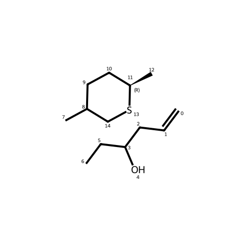 C=CCC(O)CC.CC1CC[C@@H](C)SC1